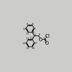 O=C(Cl)OCC(c1ccccc1)c1ccccc1